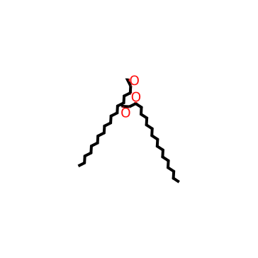 CCCCCCCCCCCCCCCC(OC(CCCCCCCCCCCCCCC)C1CO1)C1CO1